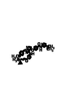 COc1ccc(Cn2nc(N[C@@H]3CCN(C(=O)C=CCN(C)C4CC4)C3)c3c(Oc4ccc(C(=O)Nc5cc(N(C)C)ccn5)cc4)ccnc32)cc1